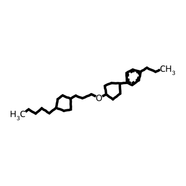 CCCCCC1CCC(CCCOC2CCC(c3ccc(CCC)cc3)CC2)CC1